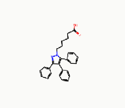 O=C(O)CCCCCn1nc(-c2ccccc2)c(-c2ccccc2)c1-c1ccccc1